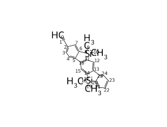 C#Cc1ccc2c(c1)[Si](C)(C)c1cc3c(cc1-2)[Si](C)(C)c1ccccc1-3